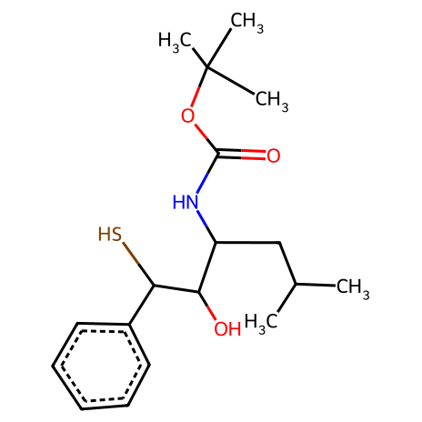 CC(C)CC(NC(=O)OC(C)(C)C)C(O)C(S)c1ccccc1